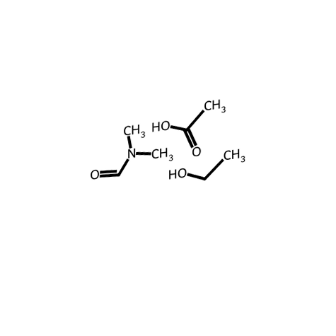 CC(=O)O.CCO.CN(C)C=O